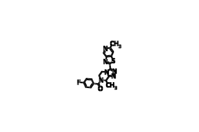 Cc1cc2sc(-c3nnc4n3CCN(C(=O)c3ccc(F)cc3)C4C)nc2cn1